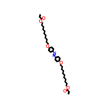 C=CC(=O)OCCCCCCCCCCCOc1ccc(/N=N/c2ccc(OCCCCCCCCCCCOC(=O)C=C)cc2)cc1